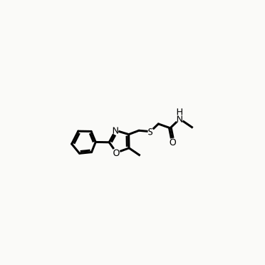 CNC(=O)CSCc1nc(-c2ccccc2)oc1C